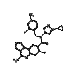 Nc1nc2cc(F)c(C(=O)N(Cc3ccc(C(F)(F)F)cc3F)c3cnn(C4CC4)c3)cc2n2cncc12